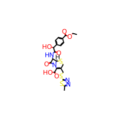 CCOC(=O)c1ccc(C(O)C(=O)NC2C(=O)N3C(C(=O)O)=C(CSc4nnc(C)s4)CS[C@H]23)cc1